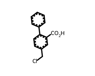 O=C(O)c1cc(CCl)ccc1-c1ccccc1